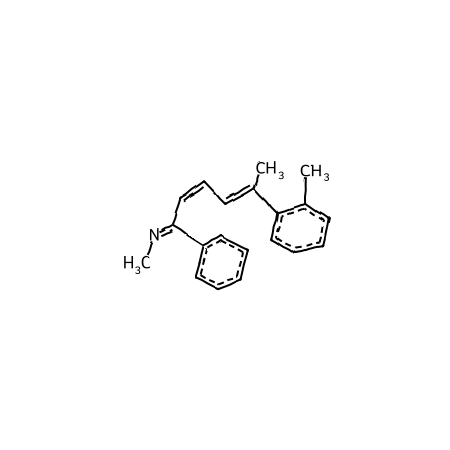 C/N=C(/C=C\C=C(/C)c1ccccc1C)c1ccccc1